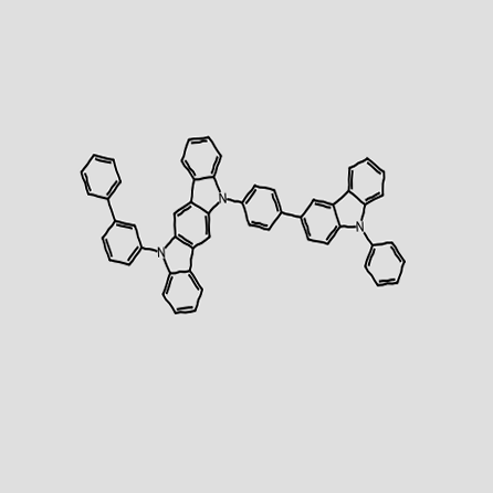 c1ccc(-c2cccc(-n3c4ccccc4c4cc5c(cc43)c3ccccc3n5-c3ccc(-c4ccc5c(c4)c4ccccc4n5-c4ccccc4)cc3)c2)cc1